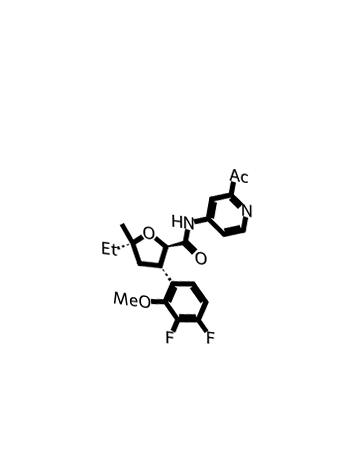 CC[C@@]1(C)C[C@@H](c2ccc(F)c(F)c2OC)[C@H](C(=O)Nc2ccnc(C(C)=O)c2)O1